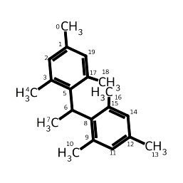 Cc1cc(C)c(C(C)c2c(C)cc(C)cc2C)c(C)c1